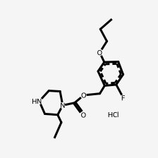 CCCOc1ccc(F)c(COC(=O)N2CCNCC2CC)c1.Cl